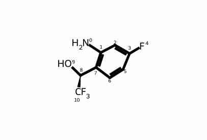 Nc1cc(F)ccc1[C@H](O)C(F)(F)F